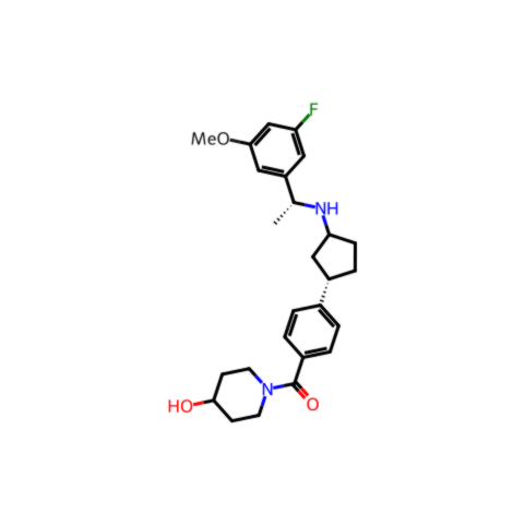 COc1cc(F)cc([C@@H](C)NC2CC[C@H](c3ccc(C(=O)N4CCC(O)CC4)cc3)C2)c1